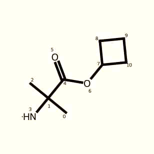 CC(C)([NH])C(=O)OC1CCC1